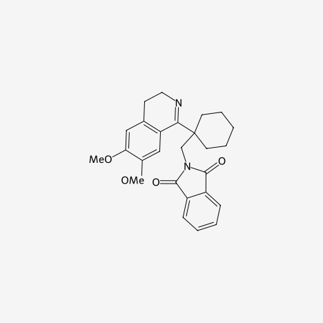 COc1cc2c(cc1OC)C(C1(CN3C(=O)c4ccccc4C3=O)CCCCC1)=NCC2